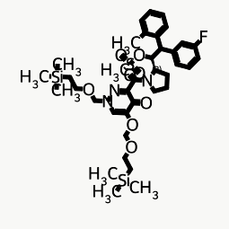 Cc1ccccc1C(c1cccc(F)c1)C(OS(C)(=O)=O)[C@H]1CCCN1C(=O)c1nn(COCC[Si](C)(C)C)cc(OCOCC[Si](C)(C)C)c1=O